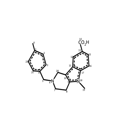 Cc1ccc(CN2CCc3c(c4cc(C(=O)O)ccc4n3C)C2)cc1